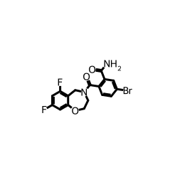 NC(=O)c1cc(Br)ccc1C(=O)N1CCOc2cc(F)cc(F)c2C1